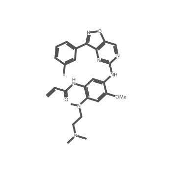 C=CC(=O)Nc1cc(Nc2ncc3onc(-c4cccc(F)c4)c3n2)c(OC)cc1N(C)CCN(C)C